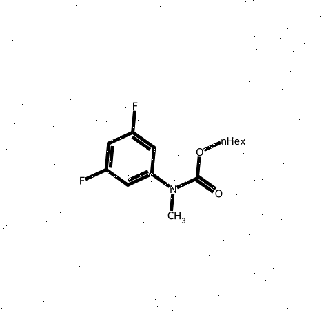 [CH2]CCCCCOC(=O)N(C)c1cc(F)cc(F)c1